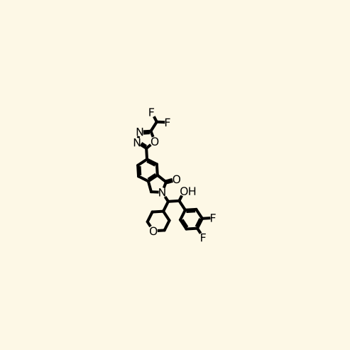 O=C1c2cc(-c3nnc(C(F)F)o3)ccc2CN1C(C1CCOCC1)C(O)c1ccc(F)c(F)c1